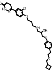 O=C1CCC(c2ccc(OCCCNCC(O)COc3ccc(CCOCC4CCC4)cc3)c(Cl)c2)=NN1